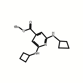 CC(C)(C)OC(=O)c1cc(NC2CCC2)nc(NC2CCC2)c1